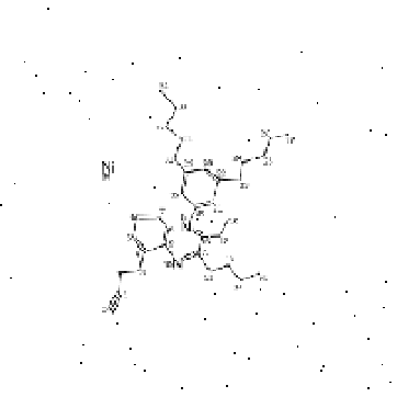 C#CCCc1ccccc1N=C(CCCC)C(CC)=Nc1cc(CCCCC)cc(CCCCC)c1.[Ni]